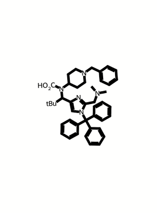 CN(C)Cc1nc(C(N(C(=O)O)C2CCN(Cc3ccccc3)CC2)C(C)(C)C)cn1C(c1ccccc1)(c1ccccc1)c1ccccc1